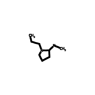 CCCN1CCCC1[N]C